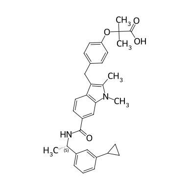 Cc1c(Cc2ccc(OC(C)(C)C(=O)O)cc2)c2ccc(C(=O)N[C@@H](C)c3cccc(C4CC4)c3)cc2n1C